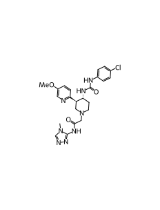 COc1ccc([C@@H]2CN(CC(=O)Nc3nncn3C)CC[C@H]2NC(=O)Nc2ccc(Cl)cc2)nc1